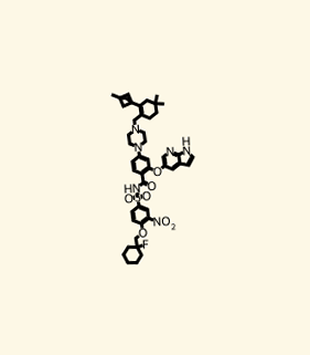 CC1(C)CCC(CN2CCN(c3ccc(C(=O)NS(=O)(=O)c4ccc(OCC5(F)CCCCC5)c([N+](=O)[O-])c4)c(Oc4cnc5[nH]ccc5c4)c3)CC2)=C(C23CC(C)(C2)C3)C1